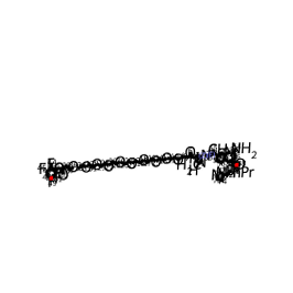 C=N/C(CNC(=O)CCOCCOCCOCCOCCOCCOCCOCCOCCOCCOCCC(=O)Oc1c(F)c(F)cc(F)c1F)=N\C=C(/C)c1ccc2c(c1)N=C(N)CC(C(=O)N(CCC)OCc1ccn[nH]1)=C2